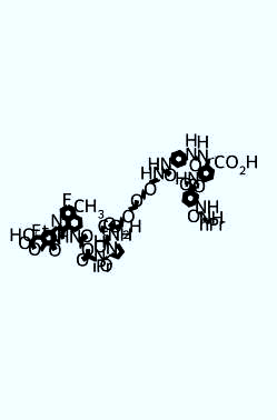 CCCNC(=O)Nc1cccc(S(=O)(=O)Nc2cccc([C@@H](CC(=O)O)NC(=O)Nc3ccc(NC(=O)NCCOCCOCCOCCC(=O)N[C@@H](CC(=O)O)C(=O)N4CCC[C@H]4C(=O)N[C@H](C(=O)OCC(=O)N[C@H]4CCc5c(C)c(F)cc6nc7c(c4c56)Cn4c-7cc5c(c4=O)COC(=O)[C@]5(O)CC)C(C)C)cc3)c2)c1